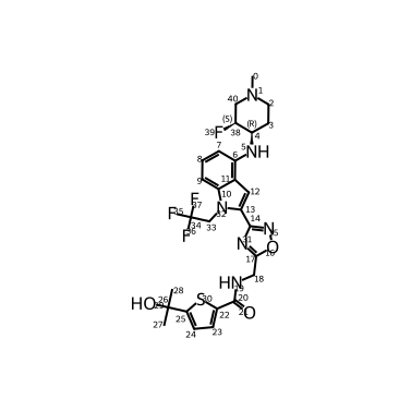 CN1CC[C@@H](Nc2cccc3c2cc(-c2noc(CNC(=O)c4ccc(C(C)(C)O)s4)n2)n3CC(F)(F)F)[C@@H](F)C1